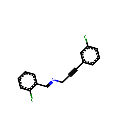 Clc1cccc(C#CC/N=C/c2ccccc2Cl)c1